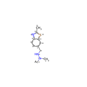 CC(=O)N(C)NCc1ccc2nc(C)sc2c1